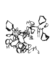 CC(=O)O[C@H]1C(=O)[C@@]2(C)[C@H]([C@H](OC(=O)c3ccccc3)[C@]3(O)CC(OC(=O)[C@H](O)[C@@H](NC(=O)c4ccccc4)c4ccccc4)C=C1C3(C)C)[C@]1(OC(C)=O)CO[C@@H]1C[C@@H]2O